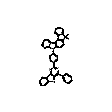 CC1(C)c2ccccc2-c2c1ccc1c2c2ccccc2n1-c1ccc(-c2nc(-c3ccccc3)c3sc4ccccc4c3n2)cc1